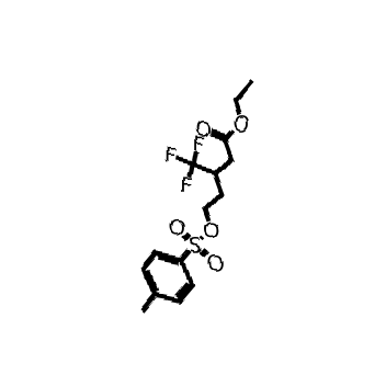 CCOC(=O)CC(CCOS(=O)(=O)c1ccc(C)cc1)C(F)(F)F